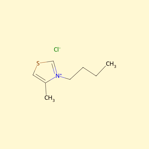 CCCC[n+]1cscc1C.[Cl-]